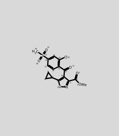 COC(=O)c1noc(C2CC2)c1C(=O)c1ccc(S(C)(=O)=O)cc1Cl